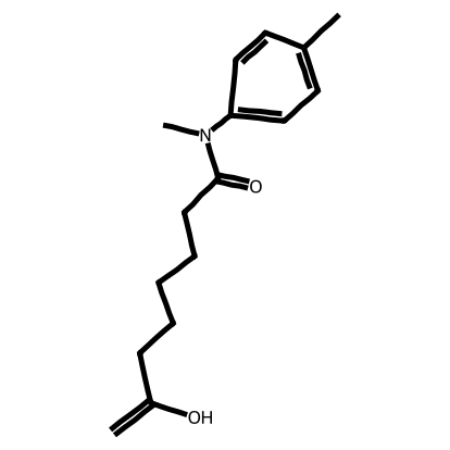 C=C(O)CCCCCC(=O)N(C)c1ccc(C)cc1